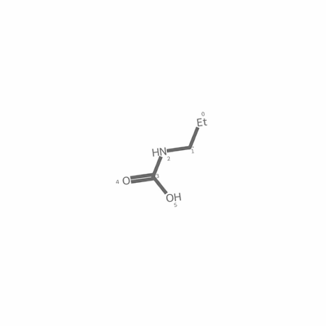 CC[CH]NC(=O)O